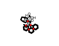 CC(C)N(Cc1ccccc1)C(=O)N1C2CC[C@@H]1[C@@H](C(=O)O)N(C(=O)N(c1ccccc1)c1ccccc1)C2